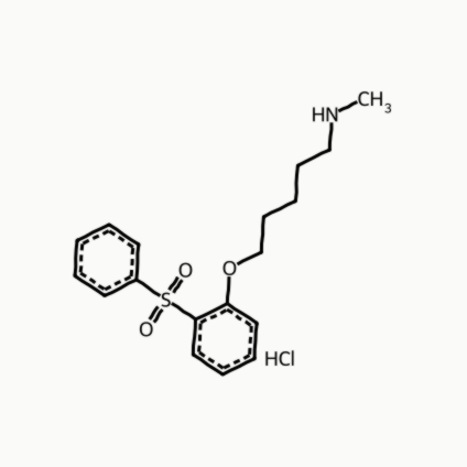 CNCCCCCOc1ccccc1S(=O)(=O)c1ccccc1.Cl